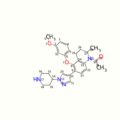 COc1cccc(Oc2c(-c3cnn(C4CCNCC4)c3)ccc3c2CCC(C)N3C(C)=O)c1